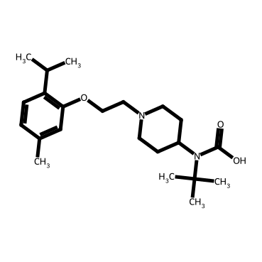 Cc1ccc(C(C)C)c(OCCN2CCC(N(C(=O)O)C(C)(C)C)CC2)c1